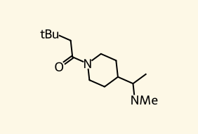 CNC(C)C1CCN(C(=O)CC(C)(C)C)CC1